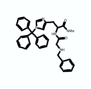 CNC(=O)C(Cc1cn(C(c2ccccc2)(c2ccccc2)c2ccccc2)cn1)NC(=O)CNCc1ccccc1